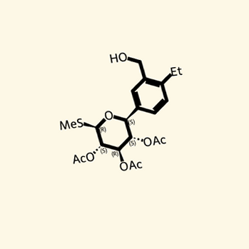 CCc1ccc([C@@H]2O[C@H](SC)[C@@H](OC(C)=O)[C@H](OC(C)=O)[C@H]2OC(C)=O)cc1CO